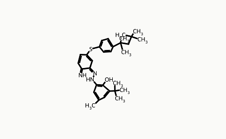 Cc1cc(N/N=C2/C=C(Sc3ccc(C(C)(C)CC(C)(C)C)cc3)C=CC2=N)c(O)c(C(C)(C)C)c1